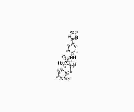 O=C(Nc1ccc(-c2cscn2)cc1)N1[C@@H]2CC[C@H]1c1ccnc(F)c1C2